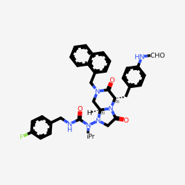 CC(C)N(C(=O)NCc1ccc(F)cc1)N1CC(=O)N2[C@@H](Cc3ccc(NC=O)cc3)C(=O)N(Cc3cccc4ccccc34)C[C@@H]21